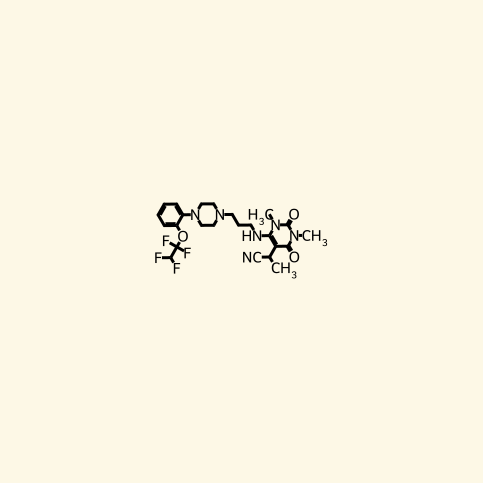 CC(C#N)c1c(NCCCN2CCN(c3ccccc3OC(F)(F)C(F)F)CC2)n(C)c(=O)n(C)c1=O